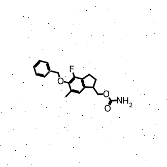 Cc1cc2c(c(F)c1OCc1ccccc1)CCC2COC(N)=O